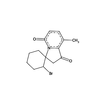 Cc1ccc(=O)n2c1C(=O)CC21CCCCC1Br